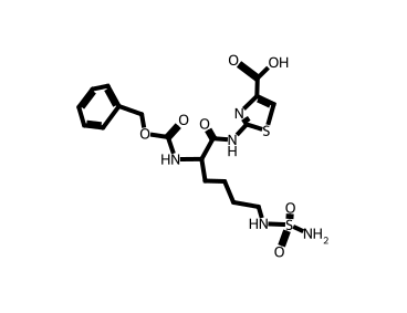 NS(=O)(=O)NCCCCC(NC(=O)OCc1ccccc1)C(=O)Nc1nc(C(=O)O)cs1